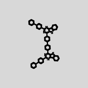 c1ccc(-c2ccc(-c3nc(-c4ccc(-c5ccc(-c6nc(-c7ccc(-c8ccccc8)cc7)nc7c6sc6ccccc67)cc5)cc4)c4sc5ccccc5c4n3)cc2)cc1